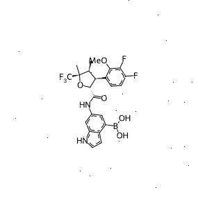 COc1c([C@H]2[C@H](C(=O)Nc3cc(B(O)O)c4cc[nH]c4c3)O[C@@](C)(C(F)(F)F)[C@H]2C)ccc(F)c1F